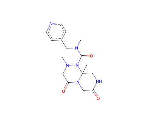 CN(Cc1ccncc1)C(=O)N1N(C)CC(=O)N2CC(=O)NCC21C